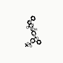 CC(C)(C)OC(=O)N1CC[C@@H](C(=O)N2CCC(O)(Cn3cnc4c(ccn4-c4ccccc4)c3=O)CC2)[C@H](c2ccccc2)C1